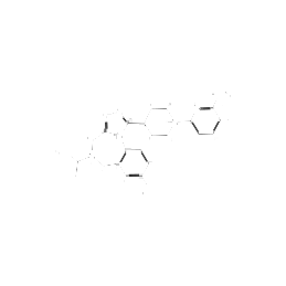 CC(C#N)N1Cc2cc(Cl)ccc2-n2c(nnc2C2CCN(c3cccc(C#N)n3)CC2)C1